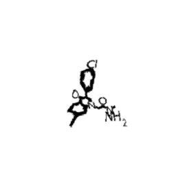 Cc1ccc2c(=O)c(-c3ccc(Cl)cc3)cn(CC(=O)N(C)N)c2c1